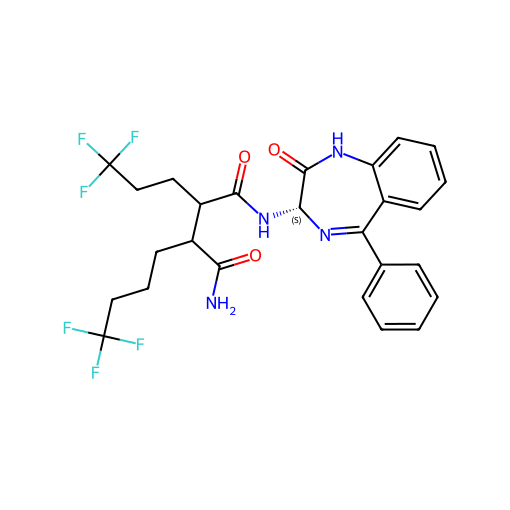 NC(=O)C(CCCC(F)(F)F)C(CCC(F)(F)F)C(=O)N[C@H]1N=C(c2ccccc2)c2ccccc2NC1=O